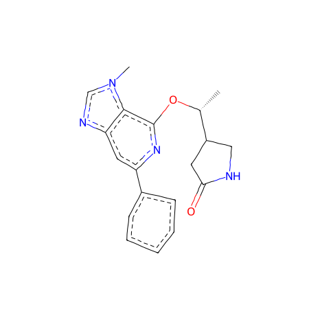 C[C@@H](Oc1nc(-c2ccccc2)cc2ncn(C)c12)C1CNC(=O)C1